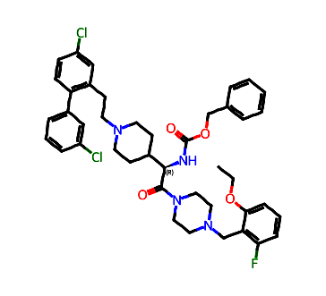 CCOc1cccc(F)c1CN1CCN(C(=O)[C@H](NC(=O)OCc2ccccc2)C2CCN(CCc3cc(Cl)ccc3-c3cccc(Cl)c3)CC2)CC1